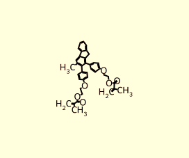 C=C(C)C(=O)OCCOc1ccc(-c2c(C)cc3c(c2-c2ccc(OCCOC(=O)C(=C)C)cc2)Cc2ccccc2-3)cc1